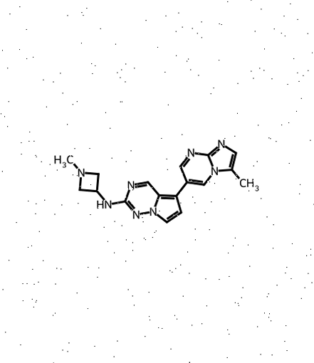 Cc1cnc2ncc(-c3ccn4nc(NC5CN(C)C5)ncc34)cn12